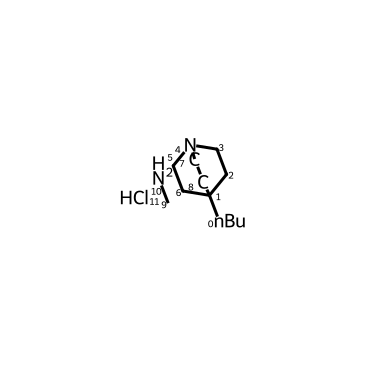 CCCCC12CCN(CC1)CC2.CN.Cl